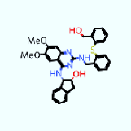 COc1cc2nc(NCc3ccccc3Sc3ccccc3CO)nc(N[C@H]3c4ccccc4C[C@H]3O)c2cc1OC